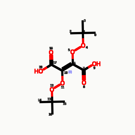 CC(C)(C)OO/C(C(=O)O)=C(/OOC(C)(C)C)C(=O)O